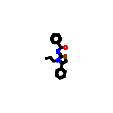 CCCn1c(-c2ccccc2)csc1=NC(=O)c1ccccc1